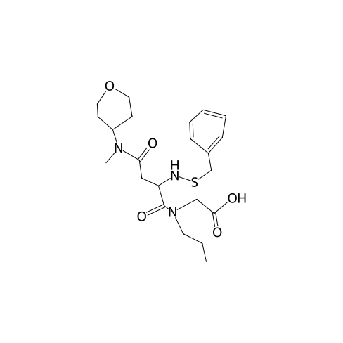 CCCN(CC(=O)O)C(=O)C(CC(=O)N(C)C1CCOCC1)NSCc1ccccc1